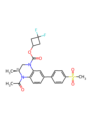 CC(=O)N1c2ccc(-c3ccc(S(C)(=O)=O)cc3)cc2N(C(=O)OC2CC(F)(F)C2)C[C@@H]1C